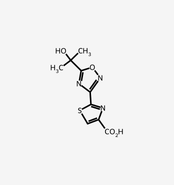 CC(C)(O)c1nc(-c2nc(C(=O)O)cs2)no1